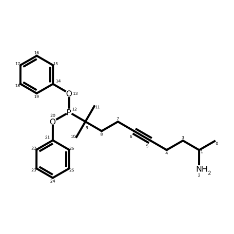 CC(N)CCC#CCCC(C)(C)P(Oc1ccccc1)Oc1ccccc1